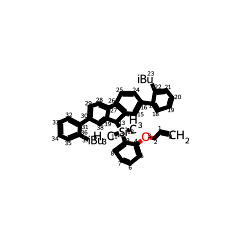 C=CCOc1ccccc1[Si](C)(C)C1c2cc(-c3ccccc3C(C)CC)ccc2-c2ccc(-c3ccccc3C(C)CC)cc21